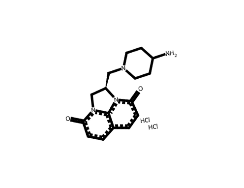 Cl.Cl.NC1CCN(C[C@@H]2Cn3c(=O)ccc4ccc(=O)n2c43)CC1